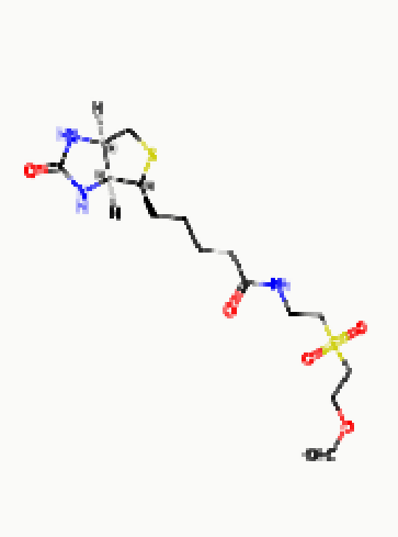 O=[C]OCCS(=O)(=O)CCNC(=O)CCCC[C@@H]1SC[C@@H]2NC(=O)N[C@@H]21